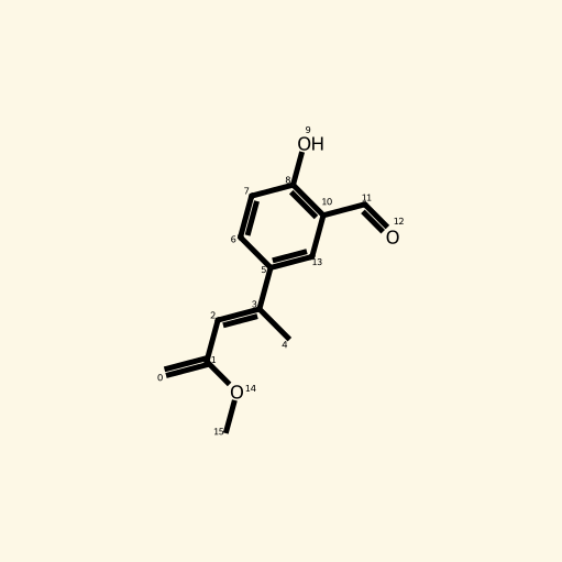 C=C(/C=C(\C)c1ccc(O)c(C=O)c1)OC